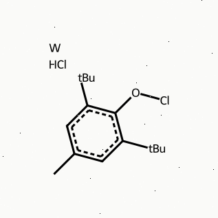 Cc1cc(C(C)(C)C)c(OCl)c(C(C)(C)C)c1.Cl.[W]